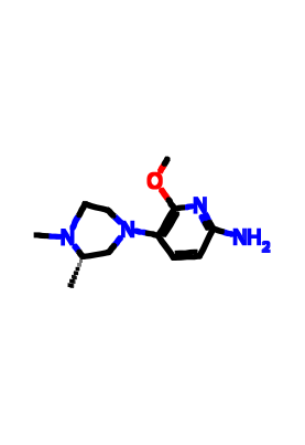 COc1nc(N)ccc1N1CCN(C)[C@@H](C)C1